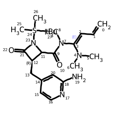 C=C/C=C(\N(C)C)N(C)C(=O)C1[C@@H](Cc2ccnc(N)c2)C(=O)N1S(C)(C)C(C)(C)C